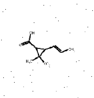 CC=CC1C(C(=O)O)C1(C)C